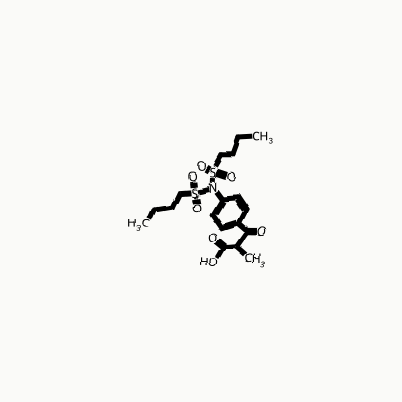 CCCCS(=O)(=O)N(c1ccc(C(=O)C(C)C(=O)O)cc1)S(=O)(=O)CCCC